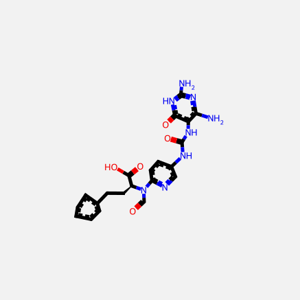 Nc1nc(N)c(NC(=O)Nc2ccc(N(C=O)[C@@H](CCc3ccccc3)C(=O)O)nc2)c(=O)[nH]1